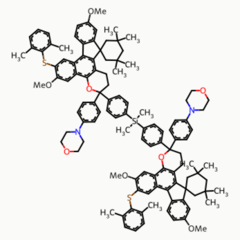 COc1ccc2c(c1)C1(CC(C)(C)CC(C)(C)C1)c1c3c(c4cc(OC)c(Sc5c(C)cccc5C)cc4c1-2)OC(c1ccc(N2CCOCC2)cc1)(c1ccc([Si](C)(C)c2ccc(C4(c5ccc(N6CCOCC6)cc5)CCc5c6c(c7cc(Sc8c(C)cccc8C)c(OC)cc7c5O4)-c4ccc(OC)cc4C64CC(C)(C)CC(C)(C)C4)cc2)cc1)CC3